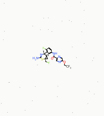 C[C@]1(c2cc(NC(=O)c3cnc(OCC(F)(F)F)cn3)ccc2F)N=C(N)S[C@@]2(CF)C[C@H]21